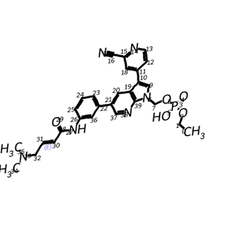 CCOP(=O)(O)OCn1cc(-c2ccnc(C#N)c2)c2cc(-c3cccc(NC(=O)/C=C/CN(C)C)c3)cnc21